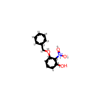 O=[N+]([O-])c1c(O)cccc1OCc1ccccc1